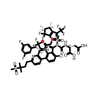 C[C@@H]1c2c(C(F)(F)F)nn(CC(=O)N[C@@H](Cc3cc(F)cc(F)c3)c3nc(CCC(C)(C)S(C)(=O)=O)ccc3-c3ccc(Cl)c4c(N(C(=O)N[C@H](CC(=O)O)C(=O)O)S(C)(=O)=O)nn(CC(F)(F)F)c34)c2C(F)(F)[C@@H]1C